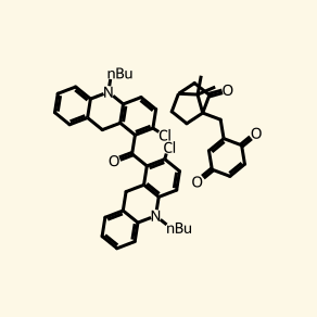 CC1(C)C2CCC1(CC1=CC(=O)C=CC1=O)C(=O)C2.CCCCN1c2ccccc2Cc2c1ccc(Cl)c2C(=O)c1c(Cl)ccc2c1Cc1ccccc1N2CCCC